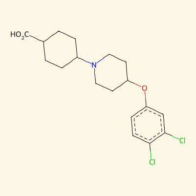 O=C(O)C1CCC(N2CCC(Oc3ccc(Cl)c(Cl)c3)CC2)CC1